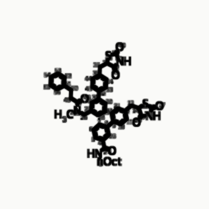 CCCCCCCCNC(=O)c1cccc(-c2ccc(CC3SC(=O)NC3=O)cc2)c1.CN(Cc1cccc(-c2ccc(CC3SC(=O)NC3=O)cc2)c1)C(=O)CCc1ccccc1